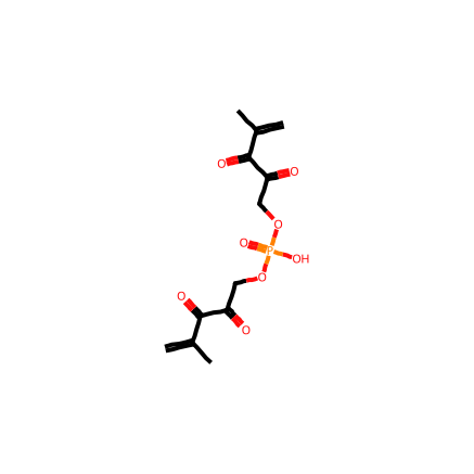 C=C(C)C(=O)C(=O)COP(=O)(O)OCC(=O)C(=O)C(=C)C